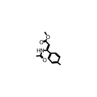 COC(=O)C=C(NC(C)=O)c1ccc(C)cc1